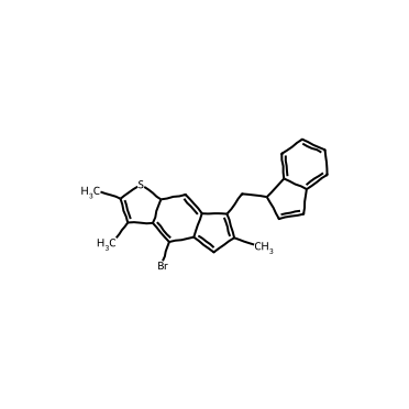 CC1=C(CC2C=Cc3ccccc32)C2=CC3SC(C)=C(C)C3=C(Br)C2=C1